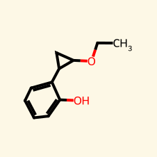 CCOC1CC1c1ccccc1O